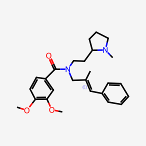 COc1ccc(C(=O)N(CCC2CCCN2C)C/C(C)=C/c2ccccc2)cc1OC